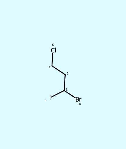 ClCCC(Br)I